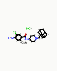 COc1cc(N)c(Cl)cc1C(=O)NC1CCN(CC23CC4CC(CC(C4)C2)C3)CC1.Cl